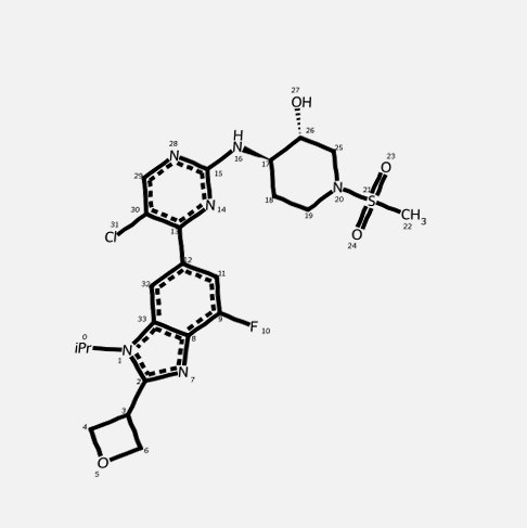 CC(C)n1c(C2COC2)nc2c(F)cc(-c3nc(N[C@@H]4CCN(S(C)(=O)=O)C[C@H]4O)ncc3Cl)cc21